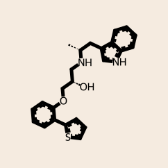 C[C@H](Cc1c[nH]c2ccccc12)NC[C@H](O)COc1ccccc1-c1cccs1